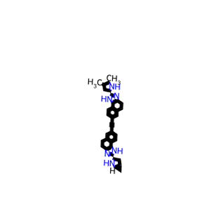 CC1C[C@@H](c2nc3c([nH]2)-c2ccc(C#Cc4ccc5c(c4)CCc4nc([C@@H]6CC7C[C@H]7N6)[nH]c4-5)cc2CC3)N[C@@H]1C